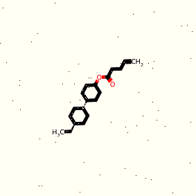 C=CCCC(=O)OC1CCC([C@H]2CC[C@H](CC)CC2)CC1